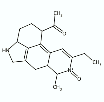 CCC1=CC2=C3C4=C(CNC4CCC3C(C)=O)CC2C(C)[N+]1=O